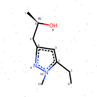 CCc1cc(C[C@@H](C)O)nn1C